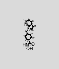 O=C(NO)c1ccc(Cn2ccc3cccnc32)cc1